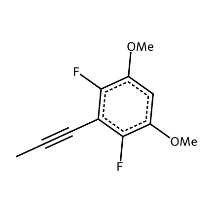 CC#Cc1c(F)c(OC)cc(OC)c1F